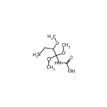 COC(C[SiH3])C(NC(=O)O)(OC)OC